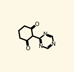 O=C1CCCC(=O)C1c1ncncn1